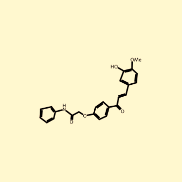 COc1ccc(C=CC(=O)c2ccc(OCC(=O)Nc3ccccc3)cc2)cc1O